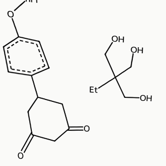 CCC(CO)(CO)CO.CCCOc1ccc(C2CC(=O)CC(=O)C2)cc1